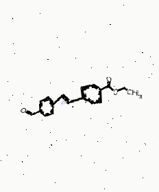 CCOC(=O)c1ccc(/C=C/c2ccc(C=O)cc2)cc1